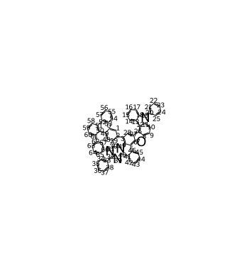 C1=CC(c2ccc3oc4ccc5c(c6ccccc6n5-c5ccccc5)c4c3c2)C(c2nc(-c3ccccc3)nc(-c3ccccc3)n2)C=C1c1c(-c2ccccc2)cccc1-c1ccccc1